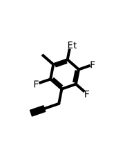 C#CCc1c(F)c(C)c(CC)c(F)c1F